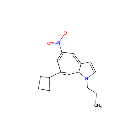 CCCN1C=CC2=CC([N+](=O)[O-])=CC(C3CCC3)=CC21